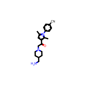 Cc1cc(C(=O)CN2CCC(CN)CC2)c(C)n1-c1ccc(C#N)cc1